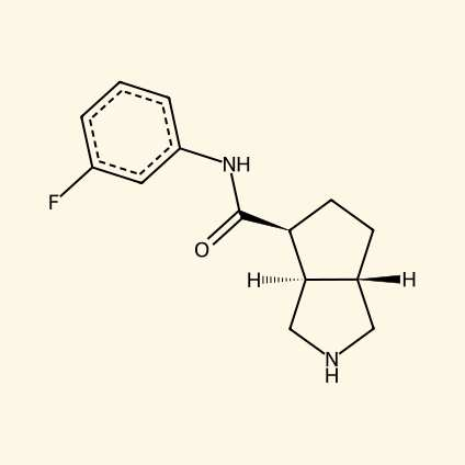 O=C(Nc1cccc(F)c1)[C@H]1CC[C@@H]2CNC[C@H]21